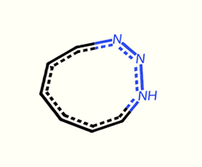 c1ccc[nH]nncc1